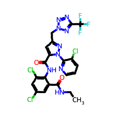 CCNC(=O)c1cc(Cl)cc(Cl)c1NC(=O)c1cc(Cn2nnc(C(F)(F)F)n2)nn1-c1ncccc1Cl